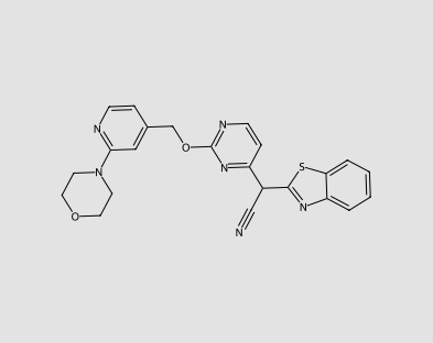 N#CC(c1ccnc(OCc2ccnc(N3CCOCC3)c2)n1)c1nc2ccccc2s1